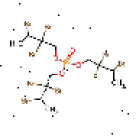 CC(Br)C(Br)(Br)COP(=O)(OCC(Br)(Br)C(C)Br)OCC(Br)(Br)C(C)Br